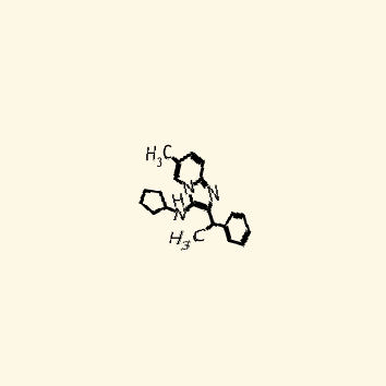 Cc1ccc2nc(C(C)c3ccccc3)c(NC3CCCC3)n2c1